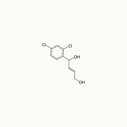 OCC=CC(O)c1ccc(Cl)cc1Cl